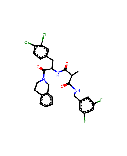 CC(C(=O)NCc1cc(F)cc(F)c1)C(=O)NC(Cc1ccc(Cl)c(Cl)c1)C(=O)N1CCc2ccccc2C1